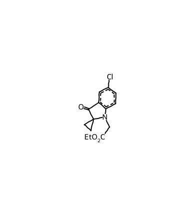 CCOC(=O)CN1c2ccc(Cl)cc2C(=O)C12CC2